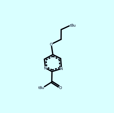 CC(C)(C)CCOc1cnc(C(=O)C(C)(C)C)nc1